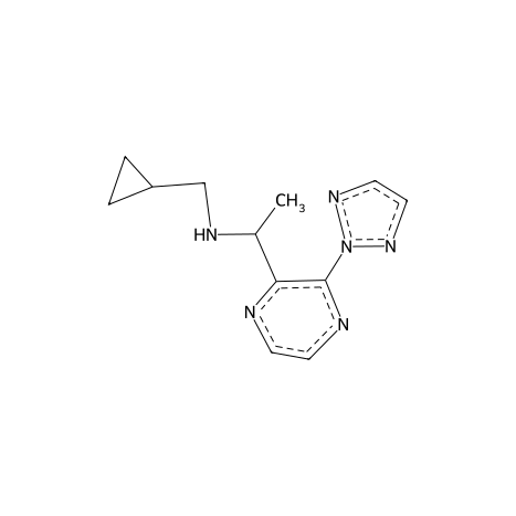 CC(NCC1CC1)c1nccnc1-n1nccn1